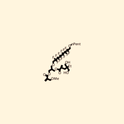 C=C(COC)C(=O)OCC(COCC(F)(F)C(F)(F)C(F)(F)C(F)(F)C(F)(F)C(F)(F)COCCCCC)COC(=O)C(=C)CC(CC)(CO)CO